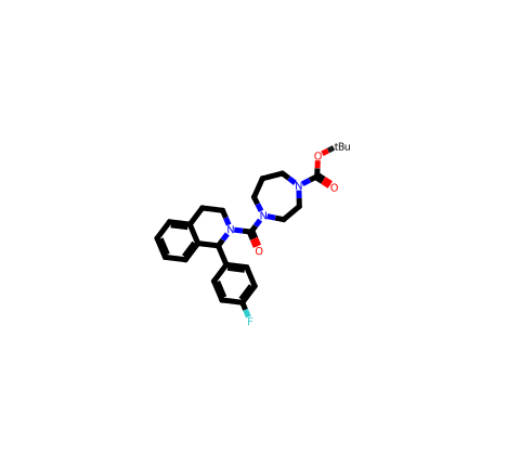 CC(C)(C)OC(=O)N1CCCN(C(=O)N2CCc3ccccc3C2c2ccc(F)cc2)CC1